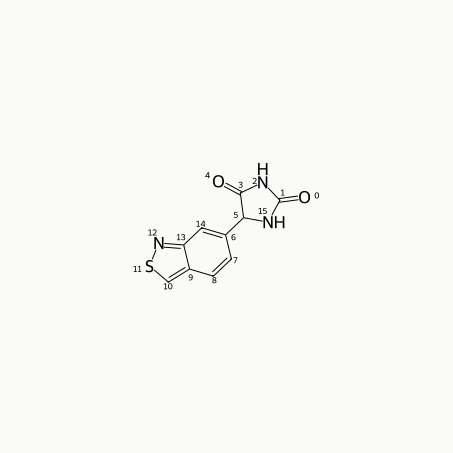 O=C1NC(=O)C(c2ccc3csnc3c2)N1